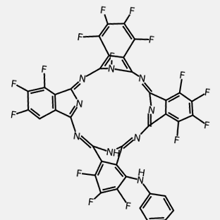 Fc1cc2c(c(F)c1F)-c1nc-2nc2[nH]c(nc3nc(nc4c5c(F)c(F)c(F)c(F)c5c(n1)n4F)-c1c(F)c(F)c(F)c(F)c1-3)c1c(Nc3ccccc3)c(F)c(F)c(F)c21